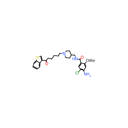 COc1cc(N)c(Cl)cc1C(=O)NCC1CCN(CCCCCC(=O)c2csc3ccccc23)CC1